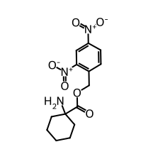 NC1(C(=O)OCc2ccc([N+](=O)[O-])cc2[N+](=O)[O-])CCCCC1